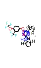 Cc1noc(N2C[C@H]3CC[C@@H](C2)[C@H]3Nc2nc(Oc3ccc(OC(F)(F)F)c(C(F)(F)F)c3)n(C(C)C)n2)n1